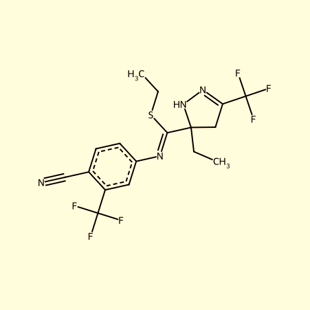 CCS/C(=N\c1ccc(C#N)c(C(F)(F)F)c1)C1(CC)CC(C(F)(F)F)=NN1